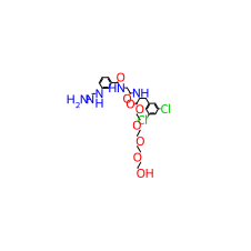 NN=CNc1cccc(C(=O)NCC(=O)NC(Cc2cc(Cl)cc(Cl)c2)C(=O)OCCOCCOCCOCCO)c1